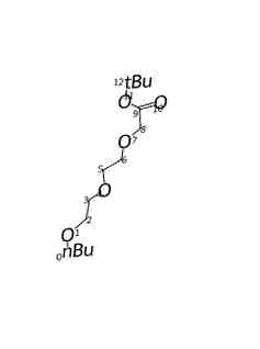 CCCCOCCOCCOCC(=O)OC(C)(C)C